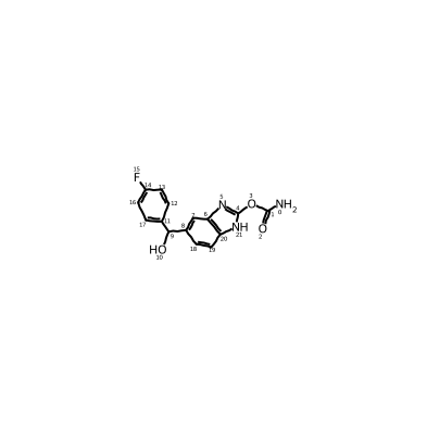 NC(=O)Oc1nc2cc(C(O)c3ccc(F)cc3)ccc2[nH]1